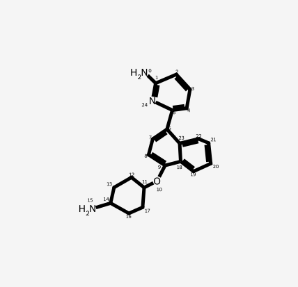 Nc1cccc(-c2ccc(OC3CCC(N)CC3)c3ccccc23)n1